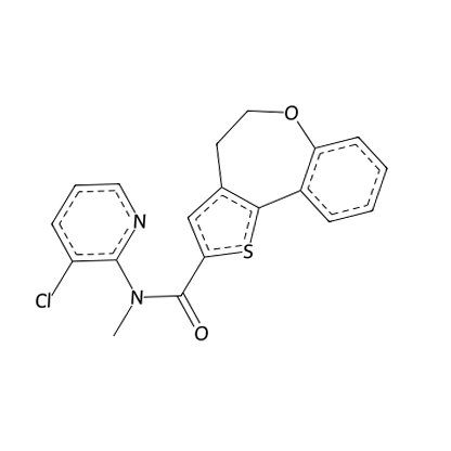 CN(C(=O)c1cc2c(s1)-c1ccccc1OCC2)c1ncccc1Cl